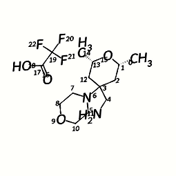 C[C@@H]1CC(CN)(N2CCOCC2)C[C@H](C)O1.O=C(O)C(F)(F)F